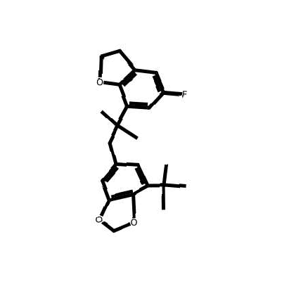 CC(C)(C)c1cc(CC(C)(C)c2cc(F)cc3c2OCC3)cc2c1OCO2